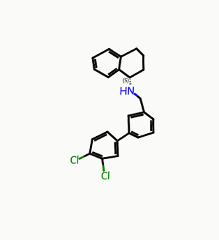 Clc1ccc(-c2cccc(CN[C@H]3CCCc4ccccc43)c2)cc1Cl